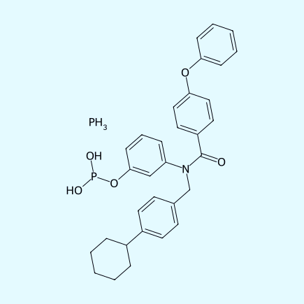 O=C(c1ccc(Oc2ccccc2)cc1)N(Cc1ccc(C2CCCCC2)cc1)c1cccc(OP(O)O)c1.P